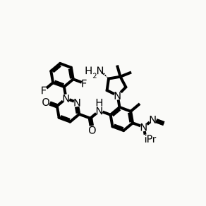 C=NN(c1ccc(NC(=O)c2ccc(=O)n(-c3c(F)cccc3F)n2)c(N2C[C@H](N)C(C)(C)C2)c1C)C(C)C